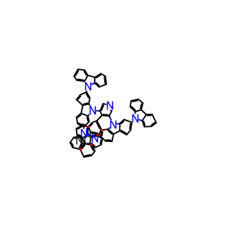 N#Cc1ccc(-c2c(-n3c4cc(-n5c6ccccc6c6ccccc65)ccc4c4ccc(-n5c6ccccc6c6ccccc65)cc43)cncc2-n2c3cc(-n4c5ccccc5c5ccccc54)ccc3c3ccc(-n4c5ccccc5c5ccccc54)cc32)cc1